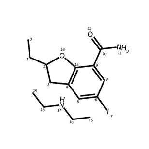 CCC1Cc2cc(I)cc(C(N)=O)c2O1.CCNCC